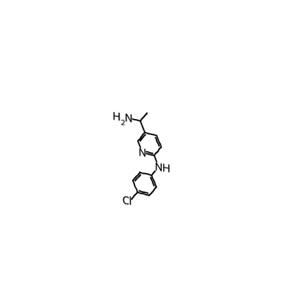 CC(N)c1ccc(Nc2ccc(Cl)cc2)nc1